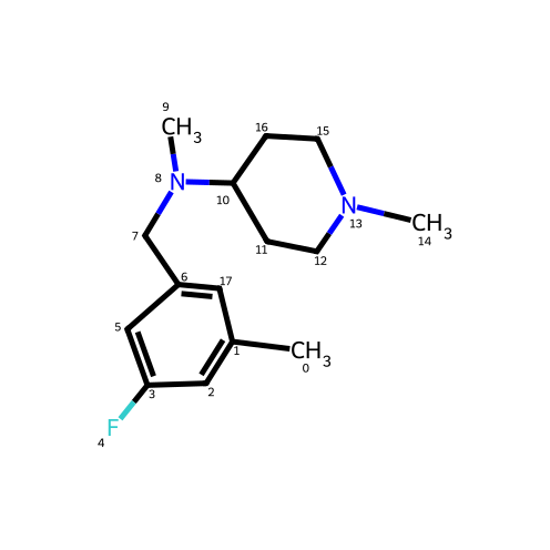 Cc1cc(F)cc(CN(C)C2CCN(C)CC2)c1